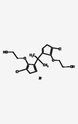 CC(C)(C1=CCC(Cl)=C1OCCO)C1=CCC(Cl)=C1OCCO.[Zr]